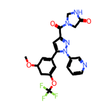 COC1C=C(c2cc(C(=O)N3CNC(=O)C3)nn2-c2cccnc2)C=C(OC(F)(F)F)C1